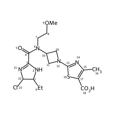 CCC1NC(C(=O)N(CCOC)C2CN(c3nc(C)c(C(=O)O)s3)C2)=NC1Cl